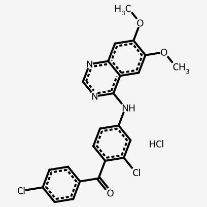 COc1cc2ncnc(Nc3ccc(C(=O)c4ccc(Cl)cc4)c(Cl)c3)c2cc1OC.Cl